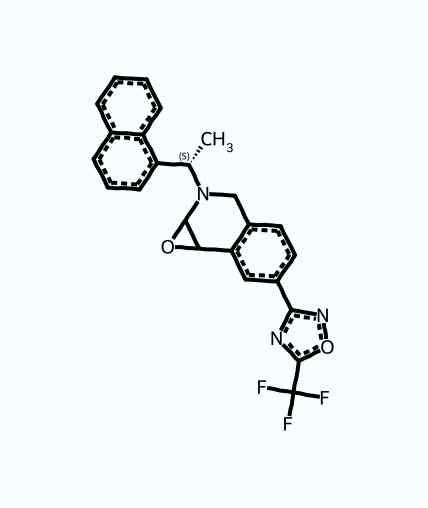 C[C@@H](c1cccc2ccccc12)N1Cc2ccc(-c3noc(C(F)(F)F)n3)cc2C2OC21